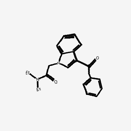 CCN(CC)C(=O)Cn1cc(C(=O)c2ccccc2)c2ccccc21